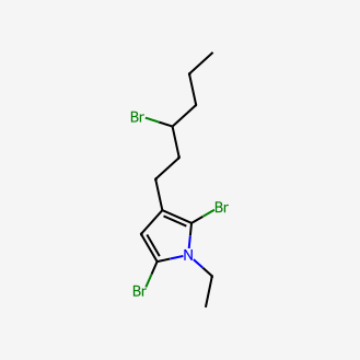 CCCC(Br)CCc1cc(Br)n(CC)c1Br